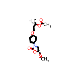 COC[C@H]1CN(c2ccc(OCC[C@@H](C)OC(C)=O)cc2)C(=O)O1